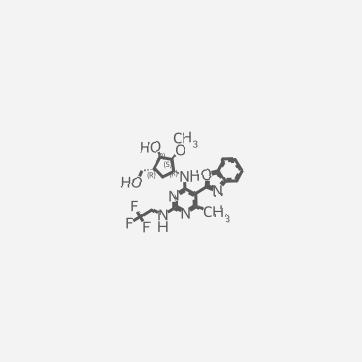 CO[C@@H]1[C@H](O)[C@@H](CO)C[C@H]1Nc1nc(NCC(F)(F)F)nc(C)c1-c1nc2ccccc2o1